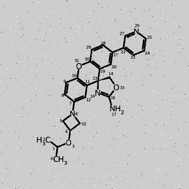 CC(C)OC1CN(c2ccc3c(c2)[C@]2(COC(N)=N2)c2cc(-c4cccnc4)ccc2O3)C1